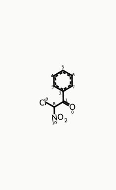 O=C(c1ccccc1)C(Cl)[N+](=O)[O-]